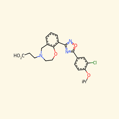 CC(C)Oc1ccc(-c2nc(-c3cccc4c3OCCN(CCC(=O)O)C4)no2)cc1Cl